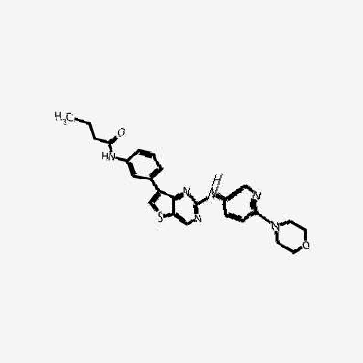 CCCC(=O)Nc1cccc(-c2csc3cnc(Nc4ccc(N5CCOCC5)nc4)nc23)c1